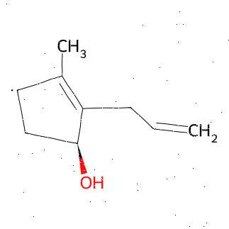 C=CCC1=C(C)[CH]C[C@@H]1O